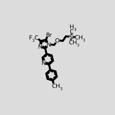 Cc1ccc(-c2ccc(-c3nc(C(F)(F)F)c(Br)n3COCC[Si](C)(C)C)cn2)cc1